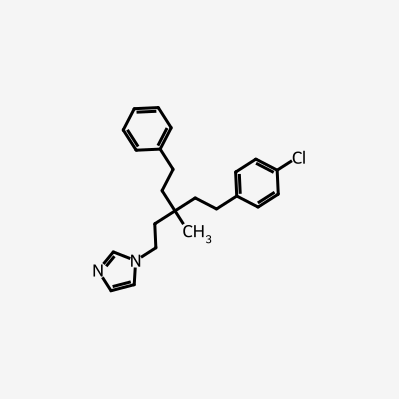 CC(CCc1ccccc1)(CCc1ccc(Cl)cc1)CCn1ccnc1